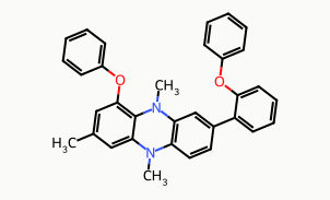 Cc1cc(Oc2ccccc2)c2c(c1)N(C)c1ccc(-c3ccccc3Oc3ccccc3)cc1N2C